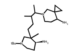 CC(CCC1(C)CN(C(C)(C)C)CC[C@@H]1N)C(C)N1CCC(N)C2(CC2)C1